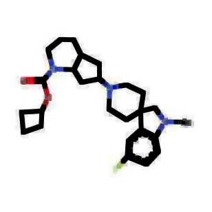 CC(=O)N1CC2(CCN(C3CC4CCCN(C(=O)OC5CCC5)C4C3)CC2)c2cc(F)ccc21